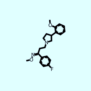 CO/N=C(/CCN1CCC(c2ccccc2OC)C1)c1ccc(F)cc1